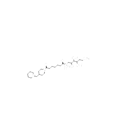 O=C(CCCCCC(=O)N1CCC(CN2CCCCC2)CC1)NCC(O)C(O)C(O)CCO